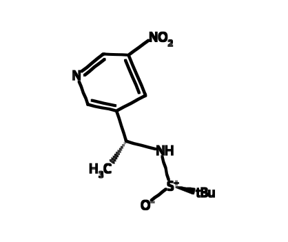 C[C@@H](N[S@+]([O-])C(C)(C)C)c1cncc([N+](=O)[O-])c1